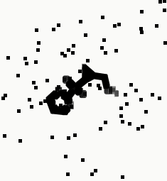 CCC1CC1S(=O)(=O)c1ncccn1